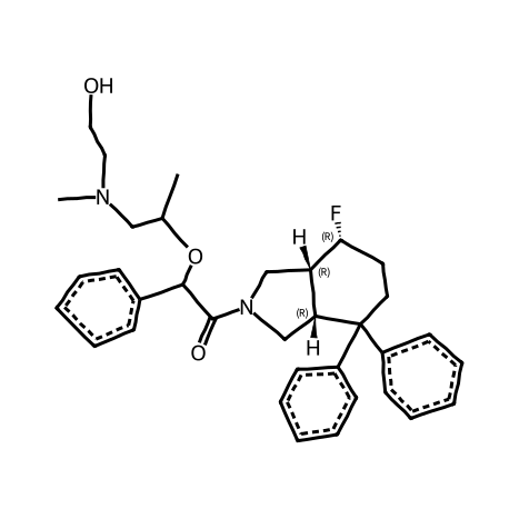 CC(CN(C)CCO)OC(C(=O)N1C[C@@H]2[C@H](F)CCC(c3ccccc3)(c3ccccc3)[C@@H]2C1)c1ccccc1